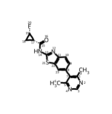 Cc1ncnc(C)c1-c1ccc2nc(NC(=O)[C@@H]3C[C@@H]3F)sc2c1